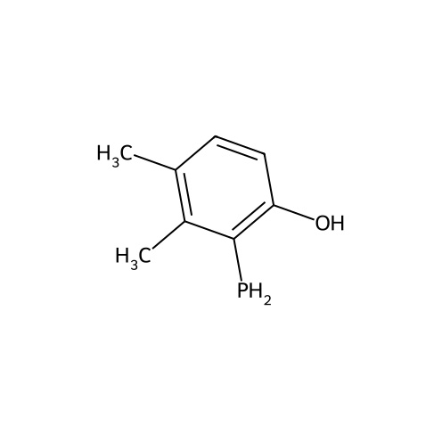 Cc1ccc(O)c(P)c1C